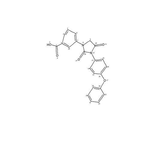 O=C(O)c1cccc(N2CC(=O)N(c3ccc(Oc4ccccc4)cc3)C2=O)c1